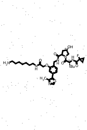 Cc1ncsc1-c1ccc(CNC(=O)C2C[C@@H](O)CN2C(=O)[C@@H](NC(=O)C2(F)CC2)C(C)(C)C)c(OCC(=O)NCCCCCCCN)c1